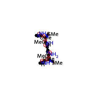 COc1cc(C(=O)N2c3ccccc3C[C@H]2C)c(N)cc1OCc1cc(COc2cc3c(cc2OC)C(=O)N2c4ccc(-c5ccc6c(c5)C[C@@H](C)N6C(=O)c5cc(OC)c(OCc6cc(COc7cc8c(cc7OC)C(=O)N7c9ccccc9C[C@H]7CN8)cc(N(C)CC(C)(C)SSC)c6)cc5N)cc4C[C@H]2CN3)cc(N(C)CC(C)(C)SSC)c1